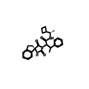 CC(c1ccccc1)C(C(=O)N[C@@H](C)C1CCC1)N1C(=O)N[C@]2(CCc3ccccc32)C1=O